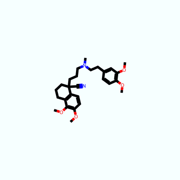 COc1ccc(CCN(C)CCCC2(C#N)CCCc3c2ccc(OC)c3OC)cc1OC